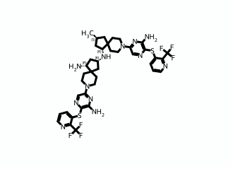 C[C@@H]1C[C@@H](N[C@H]2C[C@@H](N)C3(CCN(c4cnc(Sc5cccnc5C(F)(F)F)c(N)n4)CC3)C2)C2(CCN(c3cnc(Sc4cccnc4C(F)(F)F)c(N)n3)CC2)C1